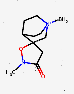 B[N+]12CCC(CC1)C1(CC(=O)N(C)O1)C2